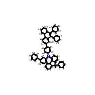 CC1(c2ccccc2)c2ccccc2-c2c(N(c3ccc(-c4ccc5c(c4)c(-c4ccccc4)c(-c4ccccc4)c4ccccc45)cc3)c3cccc(-c4ccccc4)c3)cccc21